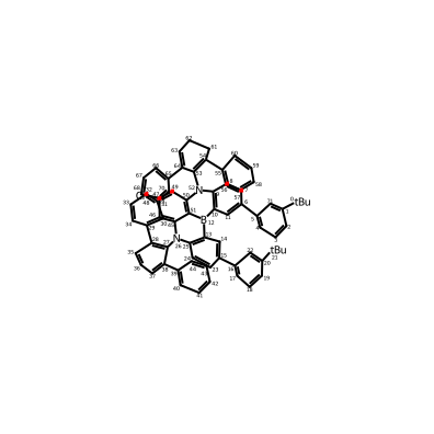 CC(C)(C)c1cccc(-c2ccc3c(c2)B2c4cc(-c5cccc(C(C)(C)C)c5)ccc4N(c4c(-c5ccccc5)cccc4-c4ccccc4)c4cc(Cl)cc(c42)N3C2=C(c3ccccc3)CCC=C2c2ccccc2)c1